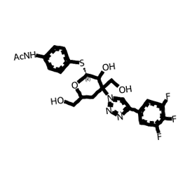 CC(=O)Nc1ccc(S[C@H]2OC(CO)CC(CO)(n3cc(-c4cc(F)c(F)c(F)c4)nn3)C2O)cc1